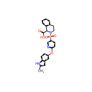 Cc1cc2cc(Oc3ccc(S(=O)(=O)N4CCc5ccccc5C4C(=O)O)cn3)ccc2[nH]1